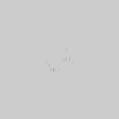 [K+].[OH-].[SiH4].[Si]